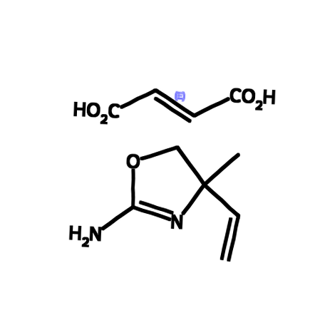 C=CC1(C)COC(N)=N1.O=C(O)/C=C/C(=O)O